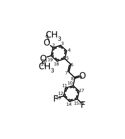 COc1ccc(/C=C/C(=O)c2cc(F)cc(F)c2)cc1OC